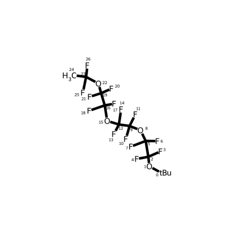 CC(C)(C)OC(F)(F)C(F)(F)OC(F)(F)C(F)(F)OC(F)(F)C(F)(F)OC(C)(F)F